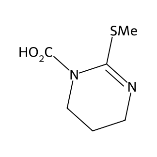 CSC1=NCCCN1C(=O)O